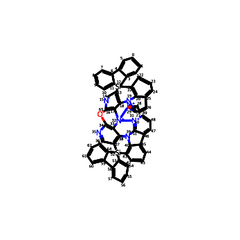 c1ccc2c(c1)-c1ccccc1[Si]21c2cnc3c4c2-n2c5c1cccc5c1ccc[n+](c12)[N+]41c2c(ncc4c2-n2c5c(cccc5c5ccc[n+]1c52)[Si]41c2ccccc2-c2ccccc21)O3